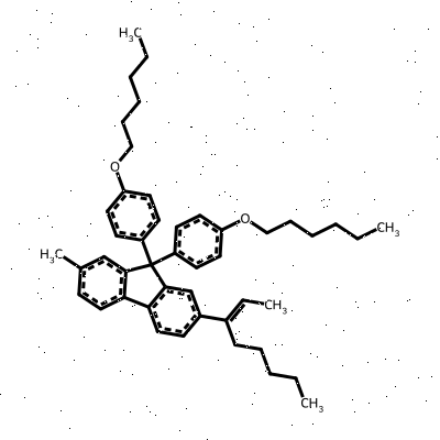 CC=C(CCCCC)c1ccc2c(c1)C(c1ccc(OCCCCCC)cc1)(c1ccc(OCCCCCC)cc1)c1cc(C)ccc1-2